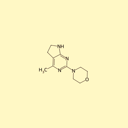 Cc1nc(N2CCOCC2)nc2c1CCN2